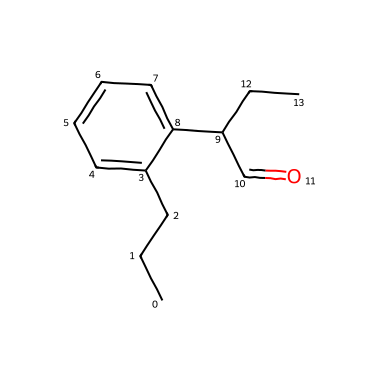 CCCc1ccccc1C(C=O)CC